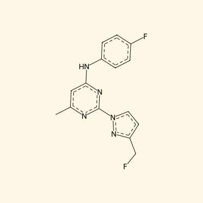 Cc1cc(Nc2ccc(F)cc2)nc(-n2ccc(CF)n2)n1